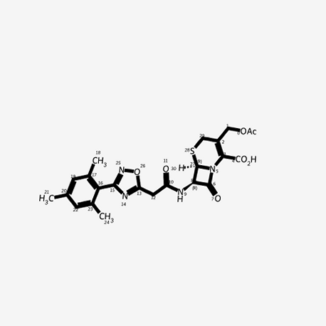 CC(=O)OCC1=C(C(=O)O)N2C(=O)[C@@H](NC(=O)Cc3nc(-c4c(C)cc(C)cc4C)no3)[C@H]2SC1